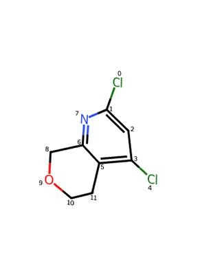 Clc1cc(Cl)c2c(n1)COCC2